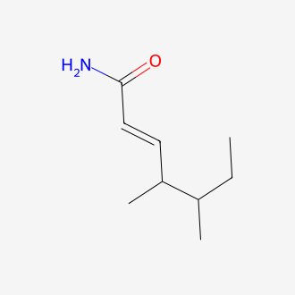 CCC(C)C(C)C=CC(N)=O